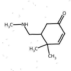 CNCC1CC(=O)C=CC1(C)C